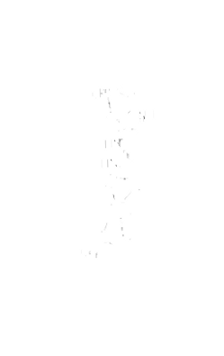 O=C(Nc1ccc(Cc2ccc(OC(F)(F)F)cc2)cc1)Nc1c[nH]c2ccc(Cl)cc12